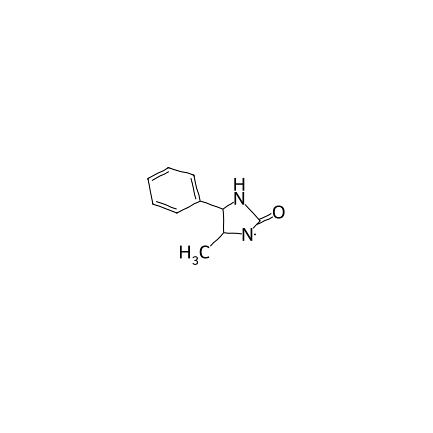 CC1[N]C(=O)NC1c1ccccc1